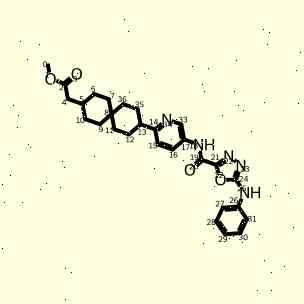 COC(=O)CC1CCC2(CC1)CCC(c1ccc(NC(=O)c3nnc(Nc4ccccc4)o3)cn1)CC2